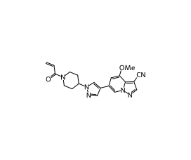 C=CC(=O)N1CCC(n2cc(-c3cc(OC)c4c(C#N)cnn4c3)cn2)CC1